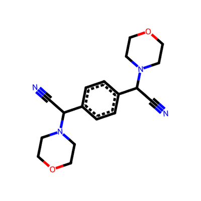 N#CC(c1ccc(C(C#N)N2CCOCC2)cc1)N1CCOCC1